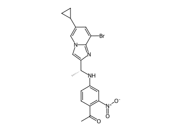 CC(=O)c1ccc(N[C@H](C)c2cn3cc(C4CC4)cc(Br)c3n2)cc1[N+](=O)[O-]